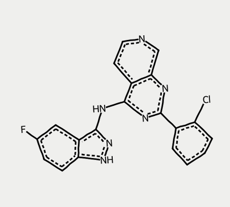 Fc1ccc2[nH]nc(Nc3nc(-c4ccccc4Cl)nc4cnccc34)c2c1